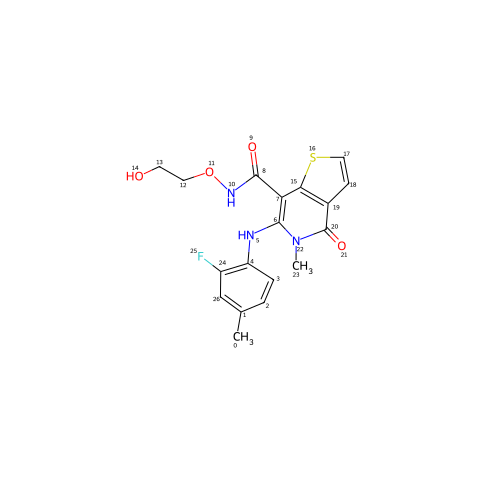 Cc1ccc(Nc2c(C(=O)NOCCO)c3sccc3c(=O)n2C)c(F)c1